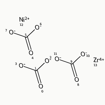 O=C([O-])[O-].O=C([O-])[O-].O=C([O-])[O-].[Ni+2].[Zr+4]